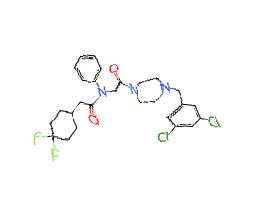 O=C(CN(C(=O)CC1CCC(F)(F)CC1)c1ccccc1)N1CCN(Cc2cc(Cl)cc(Cl)c2)CC1